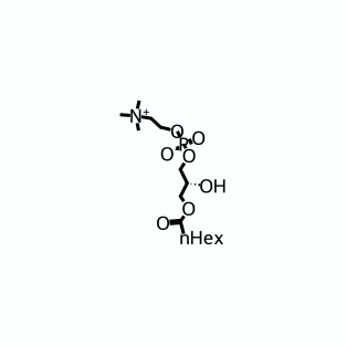 CCCCCCC(=O)OC[C@@H](O)COP(=O)([O-])OCC[N+](C)(C)C